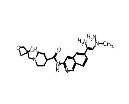 CN(N)/C=C(\N)c1ccc2cnc(NC(=O)C3CCN(CC4(C)COC4)CC3)cc2c1